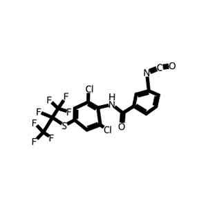 O=C=Nc1cccc(C(=O)Nc2c(Cl)cc(SC(F)(C(F)(F)F)C(F)(F)F)cc2Cl)c1